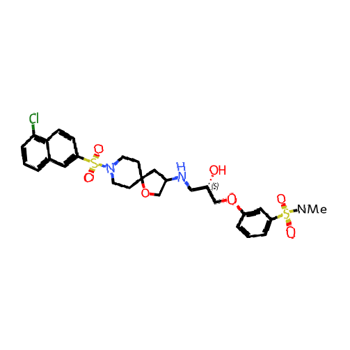 CNS(=O)(=O)c1cccc(OC[C@@H](O)CNC2COC3(CCN(S(=O)(=O)c4ccc5c(Cl)cccc5c4)CC3)C2)c1